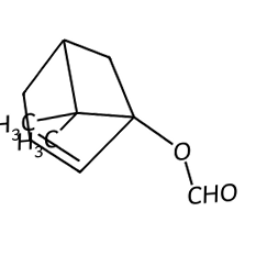 CC1(C)C2CC=CC1(OC=O)C2